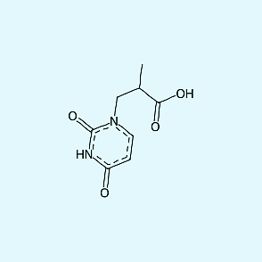 CC(Cn1ccc(=O)[nH]c1=O)C(=O)O